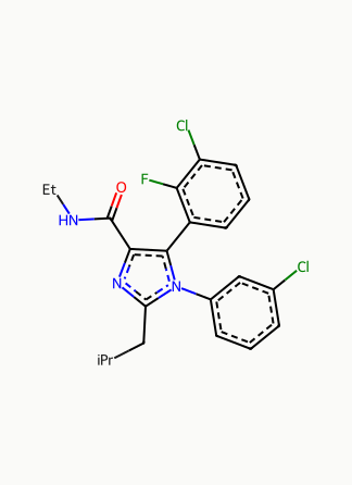 CCNC(=O)c1nc(CC(C)C)n(-c2cccc(Cl)c2)c1-c1cccc(Cl)c1F